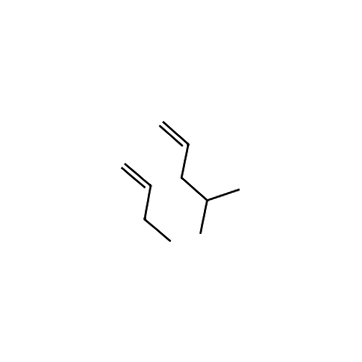 C=CCC.C=CCC(C)C